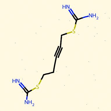 N=C(N)SCC#CCCSC(=N)N